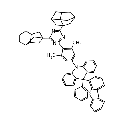 Cc1cc(N2c3ccccc3C(c3ccccc3)(c3cccc4c3oc3ccccc34)c3ccccc32)cc(C)c1-c1nc(C23CC4CC(CC(C4)C2)C3)nc(C23CC4CCCC(C2)C4C3)n1